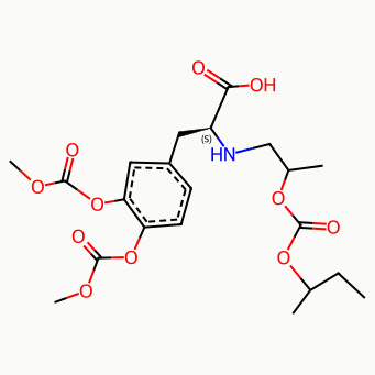 CCC(C)OC(=O)OC(C)CN[C@@H](Cc1ccc(OC(=O)OC)c(OC(=O)OC)c1)C(=O)O